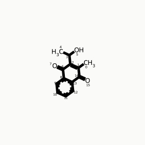 CC1=C(C(C)O)C(=O)c2ccccc2C1=O